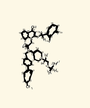 [2H]C([2H])([2H])OCC([2H])([2H])N1CCC(N(Cc2ccc(-c3ccc(C(F)(F)F)cc3)cc2)C(=O)CN2C(SC([2H])([2H])c3cccc(F)c3F)=CC(O)c3ccccc32)CC1